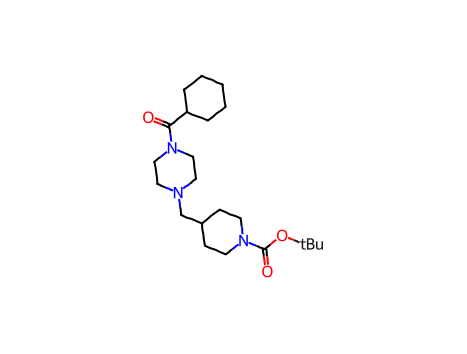 CC(C)(C)OC(=O)N1CCC(CN2CCN(C(=O)C3CCCCC3)CC2)CC1